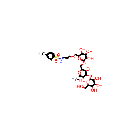 Cc1ccc(S(=O)(=O)NCCCOCC2OC(OCC3OC(C)C(O)C(OC4OC(CO)C(O)C(O)C4O)C3O)C(O)C(O)C2O)cc1